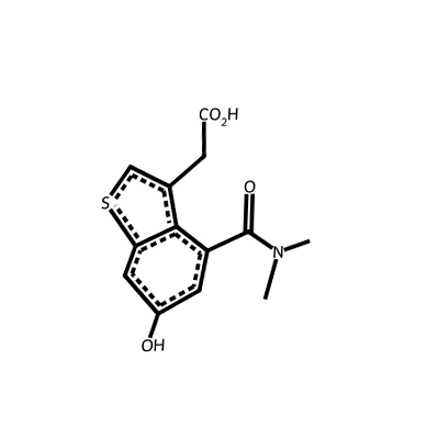 CN(C)C(=O)c1cc(O)cc2scc(CC(=O)O)c12